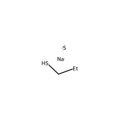 CCCS.[Na].[S]